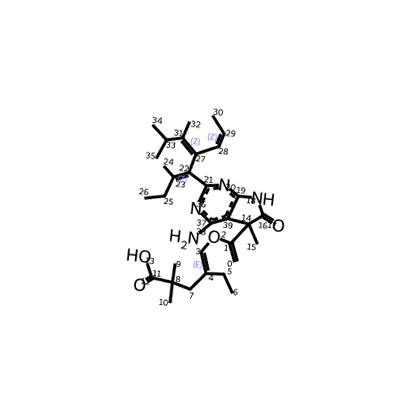 C=C(O/C=C(\CC)CC(C)(C)C(=O)O)C1(C)C(=O)Nc2nc(C(=C(/C)CC)/C(/C=C\C)=C(/C)C(C)C)nc(N)c21